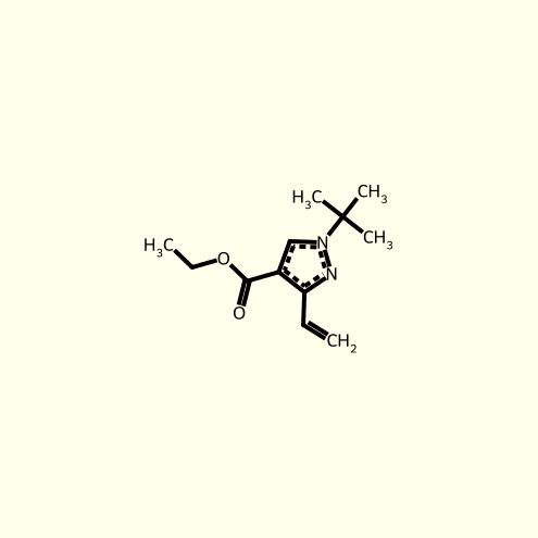 C=Cc1nn(C(C)(C)C)cc1C(=O)OCC